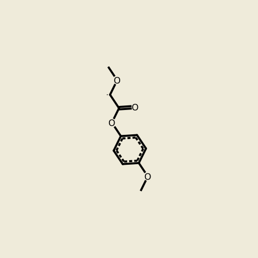 CO[CH]C(=O)Oc1ccc(OC)cc1